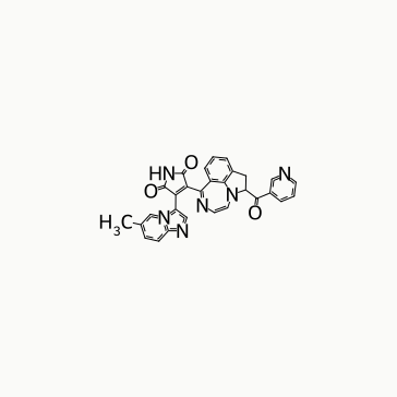 Cc1ccc2ncc(C3=C(C4=NC=CN5c6c(cccc64)CC5C(=O)c4cccnc4)C(=O)NC3=O)n2c1